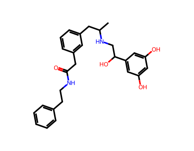 CC(Cc1cccc(CC(=O)NCCc2ccccc2)c1)NCC(O)c1cc(O)cc(O)c1